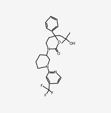 CC(C)(O)CC1(c2ccccc2)CCN(C2CCCN(c3cc(C(F)(F)F)ccn3)C2)C(=O)O1